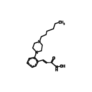 CCCCCCN1CCN(c2ccccc2/C=C/C(=O)NO)CC1